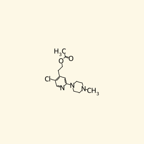 CC(=O)OCCc1cc(N2CCN(C)CC2)ncc1Cl